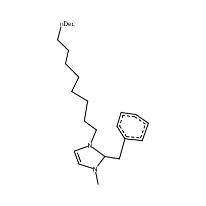 CCCCCCCCCCCCCCCCCCN1C=CN(C)C1Cc1ccccc1